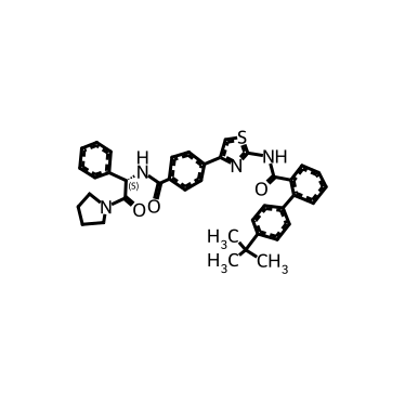 CC(C)(C)c1ccc(-c2ccccc2C(=O)Nc2nc(-c3ccc(C(=O)N[C@H](C(=O)N4CCCC4)c4ccccc4)cc3)cs2)cc1